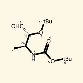 [CH2][C@H](NC(=O)OC(C)(C)C)[C@H](C=O)OC(C)(C)C